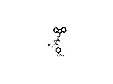 CO[C@H]1CC[C@H](C[C@H](NC(=O)OCC2c3ccccc3-c3ccccc32)C(=O)O)CC1